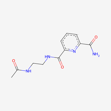 CC(=O)NCCNC(=O)c1cc[c]c(C(N)=O)n1